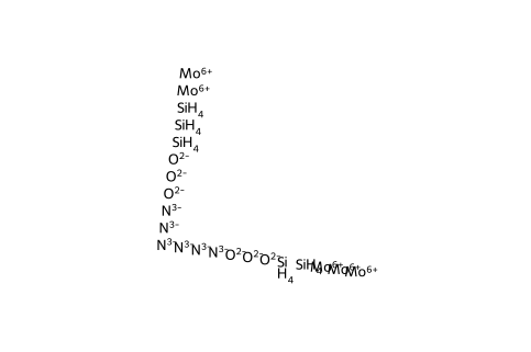 [Mo+6].[Mo+6].[Mo+6].[Mo+6].[Mo+6].[N-3].[N-3].[N-3].[N-3].[N-3].[N-3].[O-2].[O-2].[O-2].[O-2].[O-2].[O-2].[SiH4].[SiH4].[SiH4].[SiH4].[SiH4]